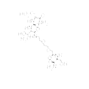 CC(O)[C@H](NC(=O)N[C@H](CC(=O)O)C(N)=O)C(=O)NCCOCCOCC(=O)N[C@@H](CO)C(N)=O